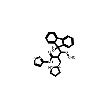 O=COC(C(C[C@H]1CCCN1)C(=O)Nc1ccon1)C1(O)c2ccccc2-c2ccccc21